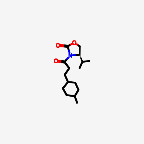 CC1CCC(CCC(=O)N2C(=O)OC[C@@H]2C(C)C)CC1